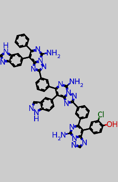 Nc1nc(-c2cccc(-c3nc4c(-c5ccc6[nH]ncc6c5)c(-c5cccc(-c6nc7c(-c8ccc9nc[nH]c9c8)c(-c8ccccc8)nc(N)n7n6)c5)nc(N)n4n3)c2)c(-c2ccc(O)c(Cl)c2)c2ncnn12